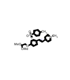 COC(COc1ccc(/C=C/c2cc[n+](C)cc2)cc1)OC.Cc1ccc(S(=O)(=O)[O-])cc1